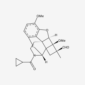 COc1ccc2c3c1O[C@@H]1[C@]34CCN(C(=O)C3CC3)[C@H](C2)C42C[C@](C)(C=O)[C@@]12OC